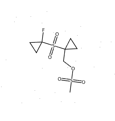 CS(=O)(=O)OCC1(S(=O)(=O)C2(F)CC2)CC1